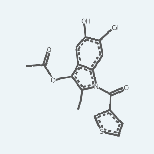 CC(=O)Oc1c(C)n(C(=O)c2ccsc2)c2cc(Cl)c(O)cc12